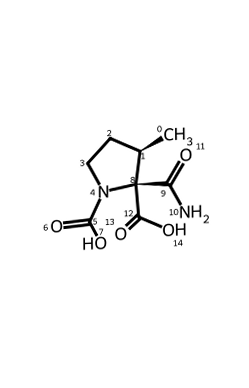 C[C@@H]1CCN(C(=O)O)[C@@]1(C(N)=O)C(=O)O